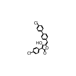 O=C1OC(=Cc2ccc(-c3ccc(Cl)cc3)cc2)C(O)=C1c1ccc(Cl)cc1